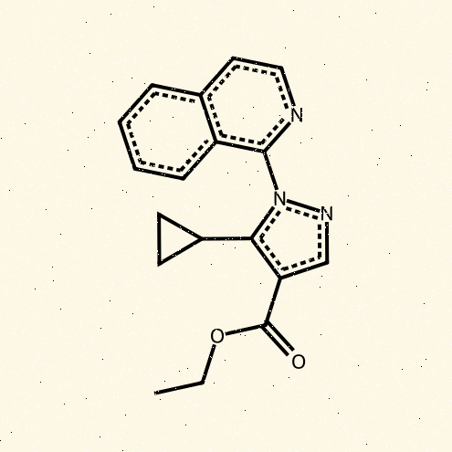 CCOC(=O)c1cnn(-c2nccc3ccccc23)c1C1CC1